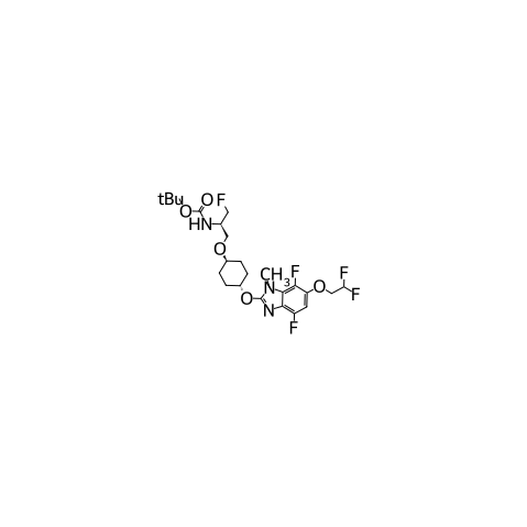 Cn1c(O[C@H]2CC[C@H](OC[C@H](CF)NC(=O)OC(C)(C)C)CC2)nc2c(F)cc(OCC(F)F)c(F)c21